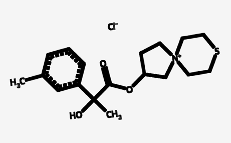 Cc1cccc(C(C)(O)C(=O)OC2CC[N+]3(CCSCC3)C2)c1.[Cl-]